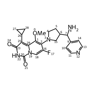 COc1c(N2CCC(C(N)c3ccncc3)C2)c(F)cn2c(=O)[nH]c(=O)c(C3CC3)c12